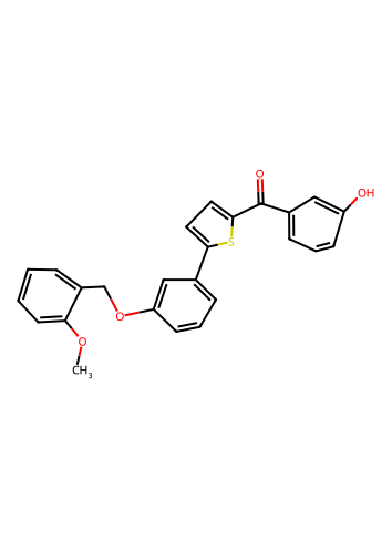 COc1ccccc1COc1cccc(-c2ccc(C(=O)c3cccc(O)c3)s2)c1